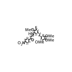 COc1cc(C=Cc2cc(F)c(OC)c(NC=CC(=O)c3ccc([N+](=O)[O-])cc3)c2)cc(OC)c1OC